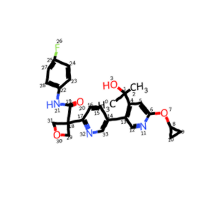 CC(C)(O)c1cc(OC2CC2)ncc1-c1ccc(C2(C(=O)Nc3ccc(F)cc3)COC2)nc1